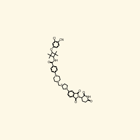 CC1(C)C(NC(=O)c2ccc(N3CCN(C[C@H]4CCN(c5ccc6c(c5)C(=O)N(C5CCC(=O)NC5=O)C6=O)C4)CC3)cc2)C(C)(C)C1Oc1ccc(C#N)c(Cl)c1